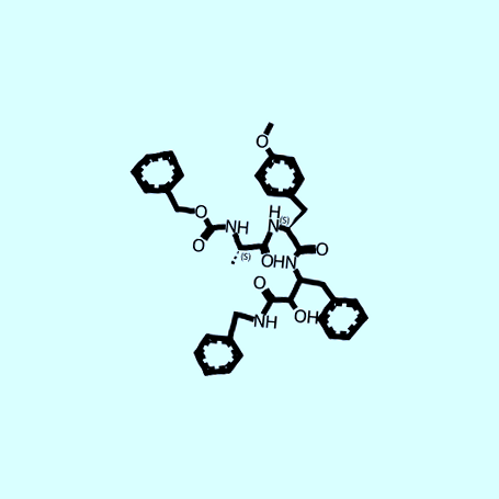 COc1ccc(C[C@H](NC(=O)[C@H](C)NC(=O)OCc2ccccc2)C(=O)NC(Cc2ccccc2)C(O)C(=O)NCc2ccccc2)cc1